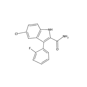 NC(=O)c1[nH]c2ccc(Cl)cc2c1-c1ccccc1F